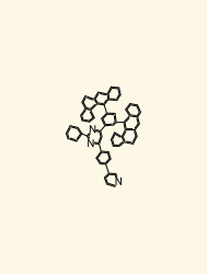 c1ccc(-c2nc(-c3ccc(-c4cccnc4)cc3)cc(-c3cc(-c4c5ccccc5cc5ccc6ccccc6c45)cc(-c4c5ccccc5cc5ccc6ccccc6c45)c3)n2)cc1